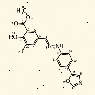 COC(=O)c1cc(/C=N/Nc2ccc(-c3cnco3)cc2)cc(I)c1O